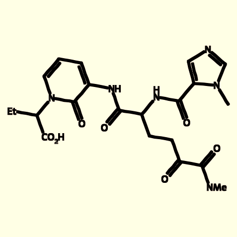 CCC(C(=O)O)n1cccc(NC(=O)C(CCC(=O)C(=O)NC)NC(=O)c2cncn2C)c1=O